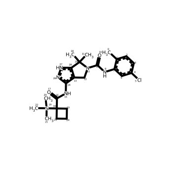 Cc1ccc(Cl)cc1NC(=O)N1Cc2c(NC(=O)C3([Si](C)(C)C)CCC3)n[nH]c2C1(C)C